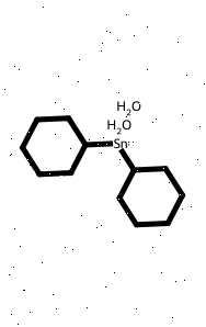 C1CC[CH]([Sn][CH]2CCCCC2)CC1.O.O